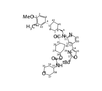 COc1ccc([C@H]2CC[C@H](CN(c3cc(-c4coc(C(C)(C)C)n4)ccn3)C(=O)[C@H]3CC[C@H](OC(=O)NC4CCOCC4)CC3)CC2)cc1C